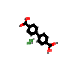 Cl.Cl.O=C(O)c1ccc(-c2ccc(C(=O)O)cc2)cc1